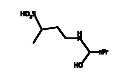 CCCC(O)NCCC(C)S(=O)(=O)O